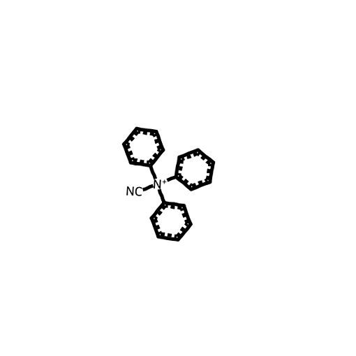 N#C[N+](c1ccccc1)(c1ccccc1)c1ccccc1